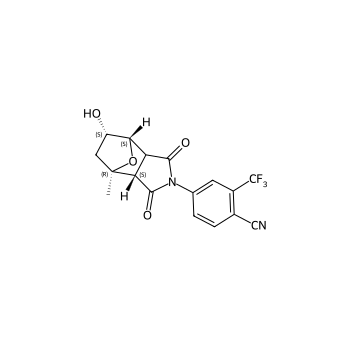 C[C@]12C[C@H](O)[C@@H](O1)C1C(=O)N(c3ccc(C#N)c(C(F)(F)F)c3)C(=O)[C@@H]12